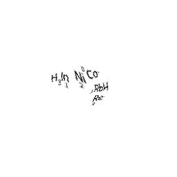 [Co].[InH3].[Ni].[RbH].[Re]